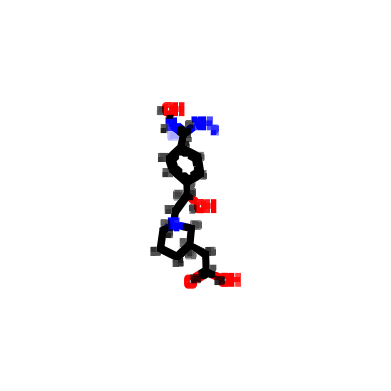 N/C(=N\O)c1ccc([C@@H](O)CN2CCC[C@H](CC(=O)O)C2)cc1